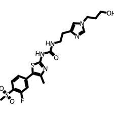 Cc1nc(NC(=O)NCCc2cn(CCCO)cn2)sc1-c1ccc(S(C)(=O)=O)c(F)c1